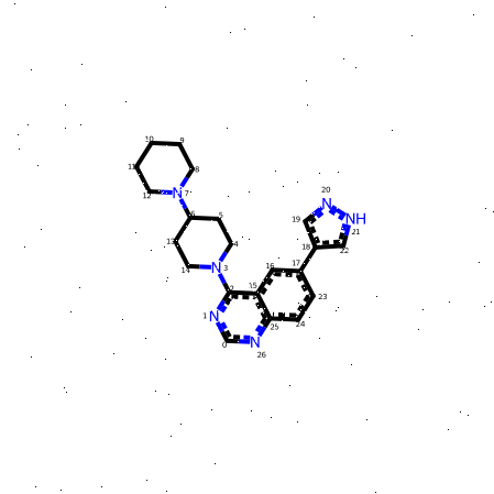 c1nc(N2CCC(N3CCCCC3)CC2)c2cc(-c3cn[nH]c3)ccc2n1